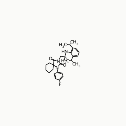 CC(C)c1cccc(C(C)C)c1NC(=O)CN1C(=O)N(c2ccc(F)cc2)C2(CCCCC2)C1=O